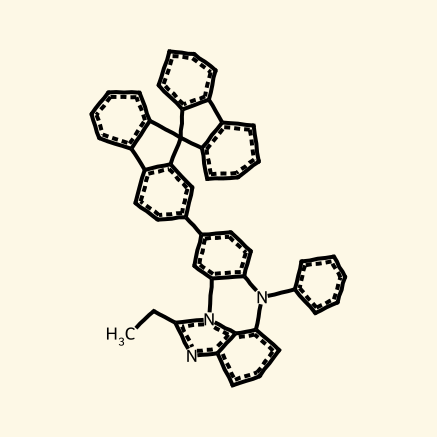 CCc1nc2cccc3c2n1-c1cc(-c2ccc4c(c2)C2(c5ccccc5-c5ccccc52)c2ccccc2-4)ccc1N3c1ccccc1